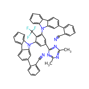 Cc1nc(C)nc(-c2cc(-n3c4ccccc4c4ccc(-c5ccccc5C#N)cc43)c(C(F)(F)F)c(-n3c4ccccc4c4ccc(-c5ccccc5C#N)cc43)c2)n1